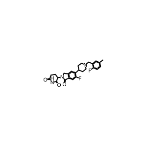 Cc1ccc(F)c(CN2CCC(c3cc4c(cc3F)C(=O)N(C3CCC(=O)NC3=O)C4)CC2)c1